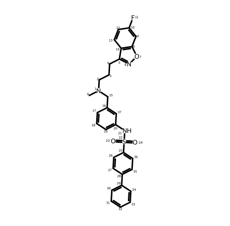 CN(CCCc1noc2cc(F)ccc12)Cc1cccc(NS(=O)(=O)c2ccc(-c3ccccc3)cc2)c1